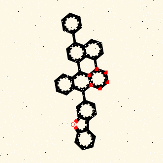 c1ccc(-c2ccc(-c3c4ccccc4c(-c4ccc5c(c4)oc4ccccc45)c4ccccc34)c3c(-c4ccccc4)cccc23)cc1